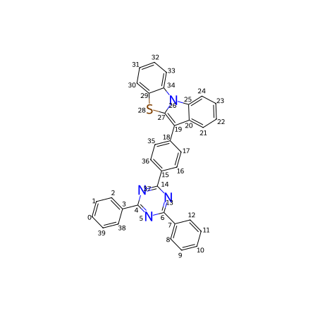 c1ccc(-c2nc(-c3ccccc3)nc(-c3ccc(-c4c5ccccc5n5c4sc4ccccc45)cc3)n2)cc1